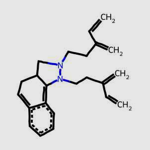 C=CC(=C)CCN1CC2CC=c3ccccc3=C2N1CCC(=C)C=C